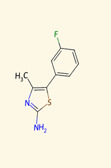 Cc1nc(N)sc1-c1cccc(F)c1